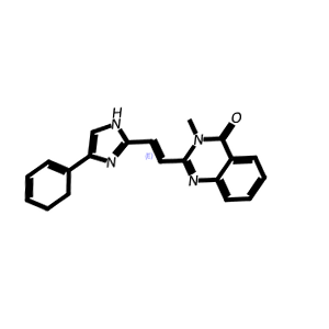 Cn1c(/C=C/c2nc(C3=CC=CCC3)c[nH]2)nc2ccccc2c1=O